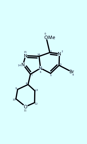 COc1nc(Br)cn2c(C3CCOCC3)nnc12